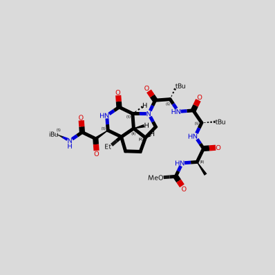 CC[C@H](C)NC(=O)C(=O)[C@H]1NC(=O)[C@@H]2[C@@H]3[C@@H](CCC31CC)CN2C(=O)[C@@H](NC(=O)[C@@H](NC(=O)[C@@H](C)NC(=O)OC)C(C)(C)C)C(C)(C)C